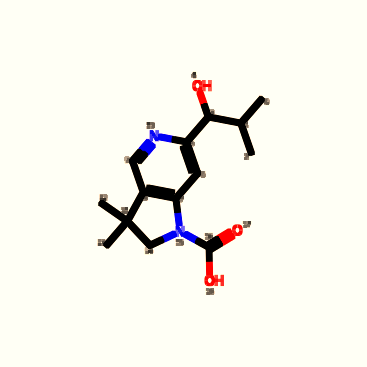 CC(C)C(O)c1cc2c(cn1)C(C)(C)CN2C(=O)O